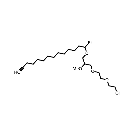 C#CCCCCCCCCCCCC(CC)OCC(COCCOCCO)OC